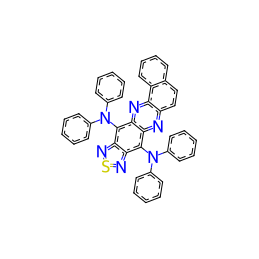 c1ccc(N(c2ccccc2)c2c3nsnc3c(N(c3ccccc3)c3ccccc3)c3nc4c(ccc5ccccc54)nc23)cc1